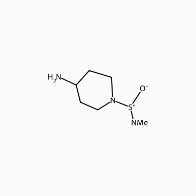 CN[S+]([O-])N1CCC(N)CC1